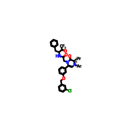 CC(=O)N1C=C(c2cccc(OCc3cccc(Cl)c3)c2)N(CC(=O)NC(Cc2ccccc2)C(=O)C(F)(F)F)C(=O)[C@H]1C(C)C